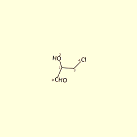 O=CC(O)CCl